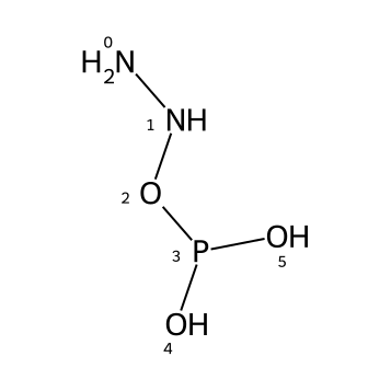 NNOP(O)O